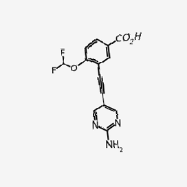 Nc1ncc(C#Cc2cc(C(=O)O)ccc2OC(F)F)cn1